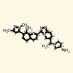 Cc1cc(-c2ccc3ccc(-c4nnc5ccc([C@H](C)N6CC[C@H](N)C6)cn45)nc3c2C)n(C)n1